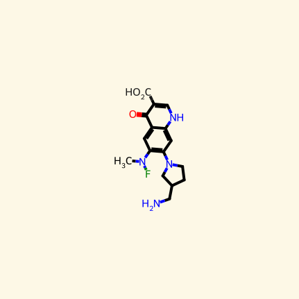 CN(F)c1cc2c(=O)c(C(=O)O)c[nH]c2cc1N1CCC(CN)C1